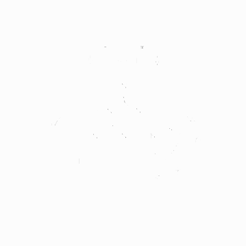 O=P(CN(CP(=O)(c1ccccc1)c1ccccc1)c1nc(N(CP(=O)(c2ccccc2)c2ccccc2)CP(=O)(c2ccccc2)c2ccccc2)nc(N(CP(=O)(c2ccccc2)c2ccccc2)CP(=O)(c2ccccc2)c2ccccc2)n1)(c1ccccc1)c1ccccc1